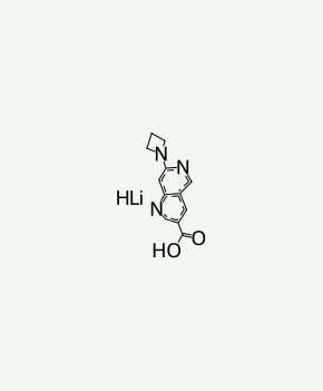 O=C(O)c1cnc2cc(N3CCC3)ncc2c1.[LiH]